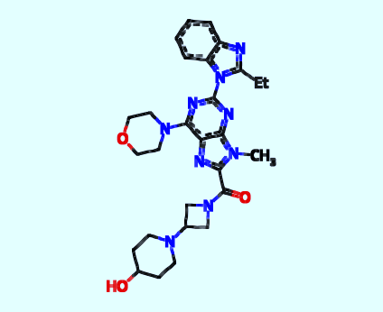 CCc1nc2ccccc2n1-c1nc(N2CCOCC2)c2nc(C(=O)N3CC(N4CCC(O)CC4)C3)n(C)c2n1